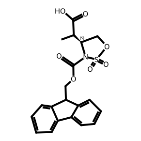 CC(C(=O)O)[C@H]1COS(=O)(=O)N1C(=O)OCC1c2ccccc2-c2ccccc21